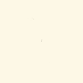 CCCCCCCCCC=CCCCCCCCCN